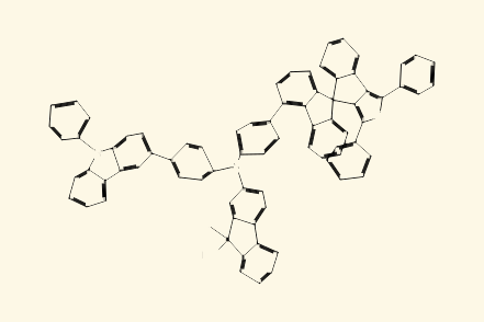 CC1(C)c2ccccc2-c2ccc(N(c3ccc(-c4ccc5c(c4)c4ccccc4n5-c4ccccc4)cc3)c3ccc(-c4cccc5c4-c4ccccc4C54c5ccccc5-c5c(-c6ccccc6)oc(-c6ccccc6)c54)cc3)cc21